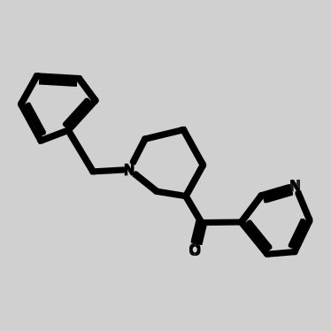 O=C(c1cccnc1)C1CCCN(Cc2ccccc2)C1